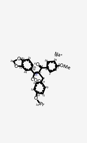 COc1ccc(C(=O)/C(Cc2ccc(OC(C)C)cc2)=C(/C(=O)[O-])c2ccc3c(c2)OCO3)cc1.[Na+]